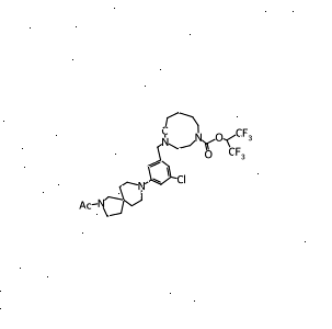 CC(=O)N1CCC2(CCN(c3cc(Cl)cc(CN4CCCCCN(C(=O)OC(C(F)(F)F)C(F)(F)F)CC4)c3)CC2)C1